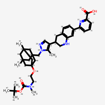 Cc1c(C2CNc3cc(-c4cccc(C(=O)O)n4)ccc3C2)cnn1CC12CC3(C)CC(C)(C1)CC(OCCN(C)C(=O)OC(C)(C)C)(C3)C2